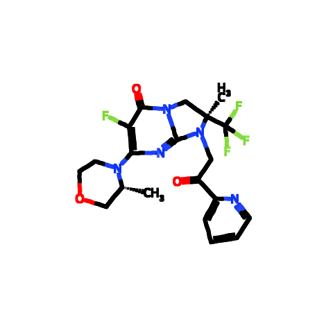 C[C@@H]1COCCN1c1nc2n(c(=O)c1F)C[C@@](C)(C(F)(F)F)N2CC(=O)c1ccccn1